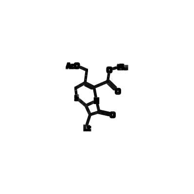 CCC1C(=O)N2C(C(=O)OC(C)(C)C)=C(COC(C)=O)CSC12